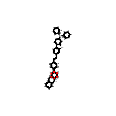 C(=C\c1ccc2c(c1)sc1cc(N(c3ccccc3)c3ccccc3)ccc12)/c1ccc(-c2ccc3c(c2)C2c4ccccc4C3c3ccccc32)cc1